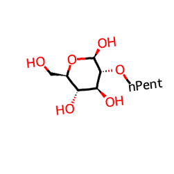 CCCCCO[C@@H]1[C@@H](O)[C@H](O)[C@@H](CO)O[C@H]1O